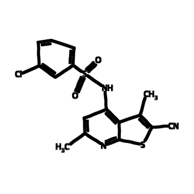 Cc1cc(NS(=O)(=O)c2cccc(Cl)c2)c2c(C)c(C#N)sc2n1